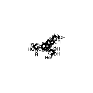 CC(C)(O)[C@@H]1CC[C@](C)([C@H]2[C@@H](O)C[C@@]3(C)[C@@H]4C[C@H](OC5O[C@H](CO)[C@@H](O)[C@H](O)[C@H]5O)[C@H]5C(C)(C)[C@@H](OC6OC[C@@H](O)[C@H](O)[C@H]6O)CCC56C[C@@]46CC[C@]23C)O1